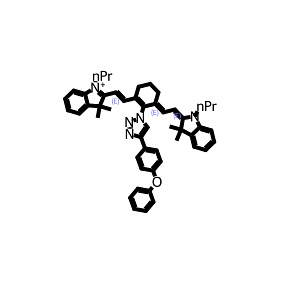 CCCN1/C(=C/C=C2\CCCC(/C=C/C3=[N+](CCC)c4ccccc4C3(C)C)=C2n2cc(-c3ccc(Oc4ccccc4)cc3)nn2)C(C)(C)c2ccccc21